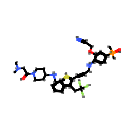 CN(C)CC(=O)N1CCC(Nc2cccc3c(CC(F)(F)F)c(C#CCNc4ccc(P(C)(C)=O)cc4OCC#N)sc23)CC1